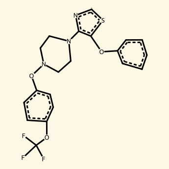 FC(F)(F)Oc1ccc(ON2CCN(c3n[c]sc3Oc3ccccc3)CC2)cc1